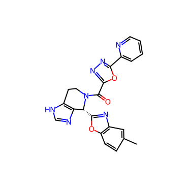 Cc1ccc2oc([C@@H]3c4nc[nH]c4CCN3C(=O)c3nnc(-c4ccccn4)o3)nc2c1